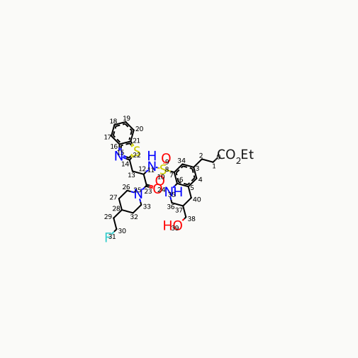 CCOC(=O)CCc1cc2c(c(S(=O)(=O)NC(Cc3nc4ccccc4s3)C(=O)N3CCC(CCF)CC3)c1)NCC(CO)C2